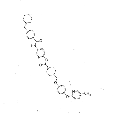 Cc1ccc(Oc2ccc(OCC3CCN(C(=O)Oc4ccc(NC(=O)c5ccc(CN6CCCCC6)cc5)cn4)CC3)cc2)nc1